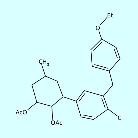 CCOc1ccc(Cc2cc(C3CC(C)CC(OC(C)=O)C3OC(C)=O)ccc2Cl)cc1